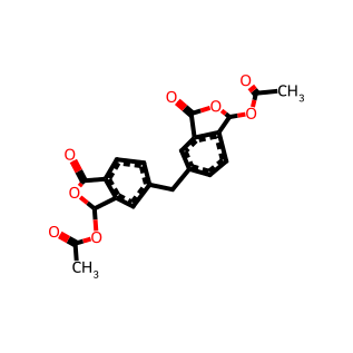 CC(=O)OC1OC(=O)c2cc(Cc3ccc4c(c3)C(OC(C)=O)OC4=O)ccc21